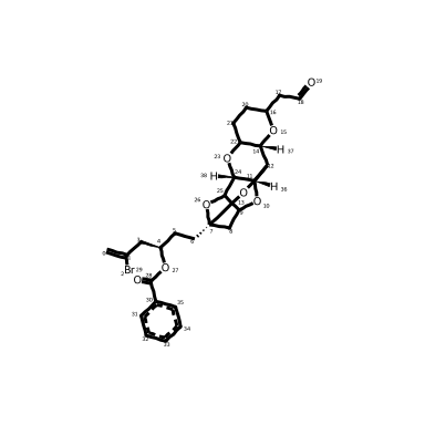 C=C(Br)C[C@@H](CC[C@@]12CC3O[C@H]4C(O1)[C@H]1OC(CC=O)CCC1O[C@H]4C3O2)OC(=O)c1ccccc1